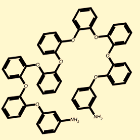 Nc1cccc(Oc2ccccc2Oc2ccccc2Oc2ccccc2Oc2ccccc2Oc2ccccc2Oc2ccccc2Oc2ccccc2Oc2cccc(N)c2)c1